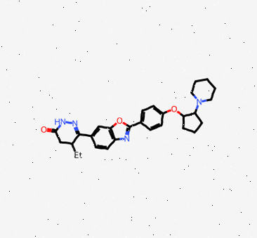 CCC1CC(=O)NN=C1c1ccc2nc(-c3ccc(OC4CCCC4N4CCCCC4)cc3)oc2c1